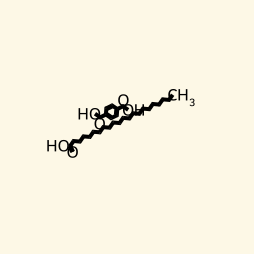 CCCCCCCCCCCCCCCCCCCCCC(=O)O.O=C(O)c1ccc(C(=O)O)cc1